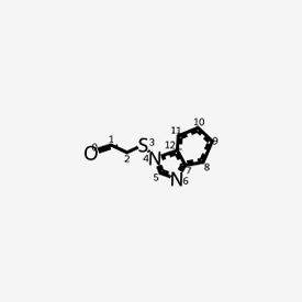 O=[C]CSn1cnc2ccccc21